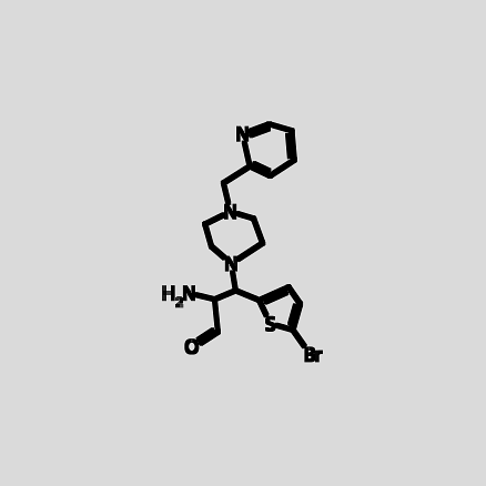 NC(C=O)C(c1ccc(Br)s1)N1CCN(Cc2ccccn2)CC1